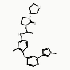 Cc1nc(NC(=O)N2CCN([C@@H]3CCOC3)C2=O)ccc1Oc1ccnc(-c2cnn(C)c2)c1